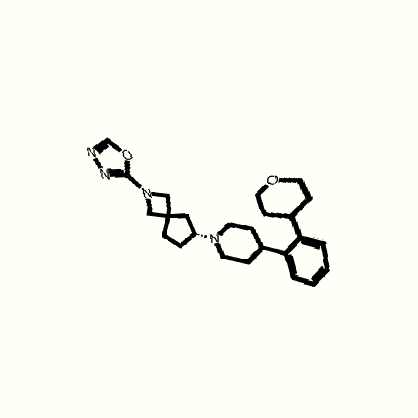 c1ccc(C2CCN([C@@H]3CCC4(C3)CN(c3nnco3)C4)CC2)c(C2CCOCC2)c1